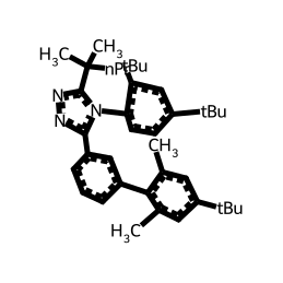 CCCC(C)(C)c1nnc(-c2cccc(-c3c(C)cc(C(C)(C)C)cc3C)c2)n1-c1ccc(C(C)(C)C)cc1C(C)(C)C